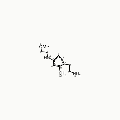 COCCNc1ccc(CCN)c(C)c1